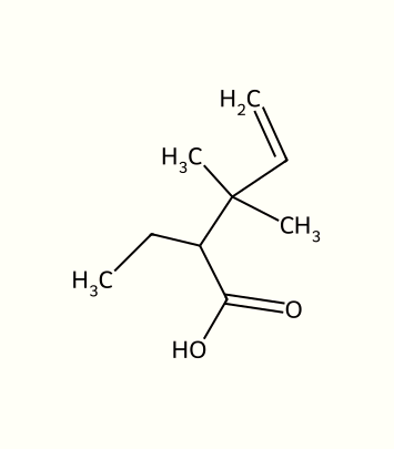 C=CC(C)(C)C(CC)C(=O)O